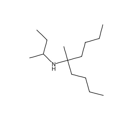 CCCCC(C)(CCCC)NC(C)CC